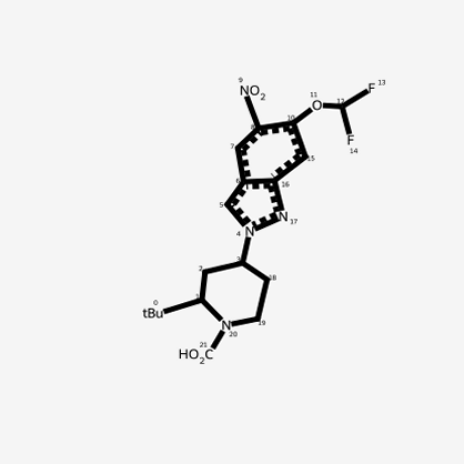 CC(C)(C)C1CC(n2cc3cc([N+](=O)[O-])c(OC(F)F)cc3n2)CCN1C(=O)O